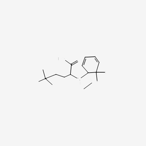 CC[C@]1(NC(CCC(C)(C)C)C(=O)O)C=CC=CC1(F)F